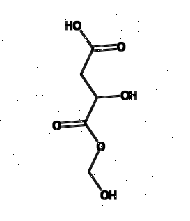 O=C(O)CC(O)C(=O)OCO